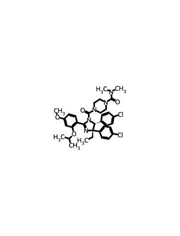 CC[C@@]1(c2ccc(Cl)cc2)N=C(c2ccc(OC)cc2OC(C)C)N(C(=O)N2CCN(C(=O)N(C)C)CC2)[C@@H]1c1ccc(Cl)cc1